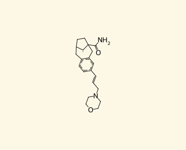 NC(=O)C12[CH]C(CC1)Cc1ccc(C=CCN3CCOCC3)cc1C2